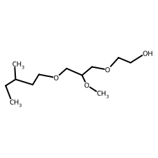 CCC(C)CCOCC(COCCO)OC